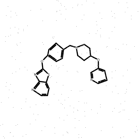 c1cncc(OC2CCN(Cc3ccc(Oc4nc5ncccc5s4)cc3)CC2)c1